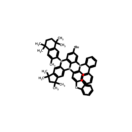 Cc1cc2c(cc1N1c3cc4c(cc3B3c5cc6oc7ccccc7c6cc5N(c5ccccc5-c5ccccc5)c5cc(C(C)(C)C)cc1c53)C(C)(C)CC4(C)C)C(C)(C)CCC2(C)C